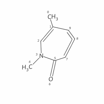 CC1=CN(C)C(=O)C=C=C1